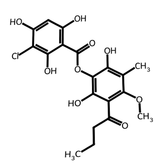 CCCC(=O)c1c(O)c(OC(=O)c2c(O)cc(O)c(Cl)c2O)c(O)c(C)c1OC